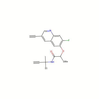 C#Cc1cnc2cc(F)c(OC(SC)C(=O)NC(C)(C#C)CC)cc2c1